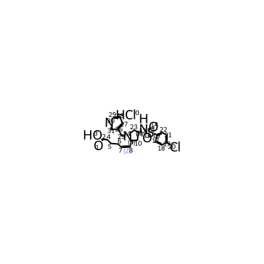 Cl.O=C(O)CCC/C=C\[C@@H]1C[C@@H](NS(=O)(=O)c2ccc(Cl)cc2)CN1Cc1cccnc1